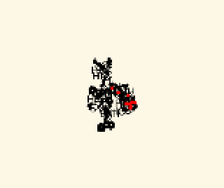 C=CCOC(=O)N[C@@H](CSSC(C)(C)C)C(=O)NCCCC[C@H](NC(=O)[C@H](Cc1ccccc1)NC(=O)C(CSSC(C)(C)C)OC(=O)[C@H](Cc1ccccc1)NC(=O)OCC1c2ccccc2-c2ccccc21)C(=O)N[C@@H](CC(C)C)C(=O)N(C)[C@@H](C)C(=O)N(C)[C@@H](CC(C)C)C(=O)N[C@@H](C)C(=O)N(C)[C@@H](Cc1ccccc1)C(=O)N(C)[C@@H](C)C(=O)N[C@@H](C)C(=O)O